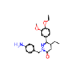 CCOc1ccc(C2=NN(Cc3ccc(N)cc3)C(=O)CC2CC)cc1OC